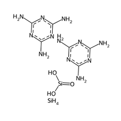 Nc1nc(N)nc(N)n1.Nc1nc(N)nc(N)n1.O=[Si](O)O.[SiH4]